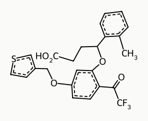 Cc1ccccc1C(CCC(=O)O)Oc1cc(OCc2ccsc2)ccc1C(=O)C(F)(F)F